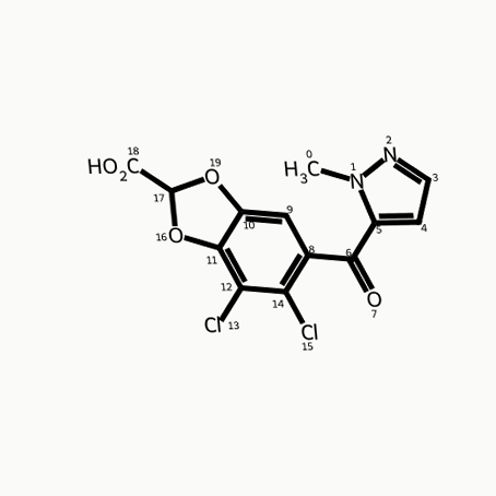 Cn1nccc1C(=O)c1cc2c(c(Cl)c1Cl)OC(C(=O)O)O2